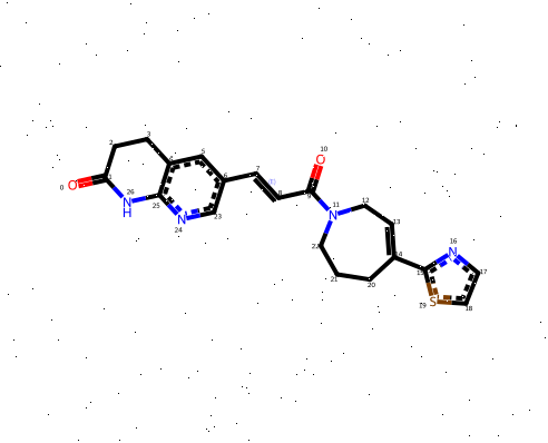 O=C1CCc2cc(/C=C/C(=O)N3CC=C(c4nccs4)CCC3)cnc2N1